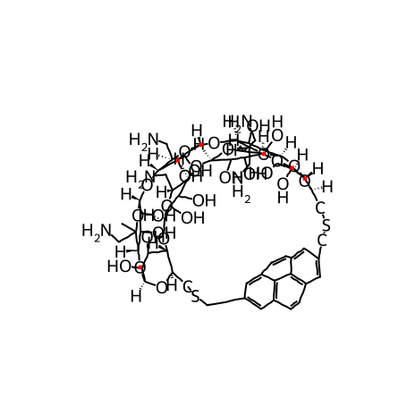 CC1(CN)O[C@@H]2O[C@H]3C(O)C(O)[C@H](O[C@@H]3CN)O[C@H]3C(O)C(O)[C@H](O[C@@H]3CN)O[C@H]3C(O)C(O)[C@@H]4O[C@@H]3CSCc3cc5ccc6cc(cc7ccc(c3)c5c67)CSC[C@H]3O[C@H](O[C@H]1C(O)C2O)C(O)C(O)[C@@H]3O[C@H]1O[C@H](CN)[C@@H](O[C@H]2O[C@H](CN)[C@@H](O4)C(O)C2O)C(O)C1O